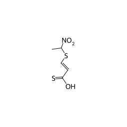 CC(SC=CC(O)=S)[N+](=O)[O-]